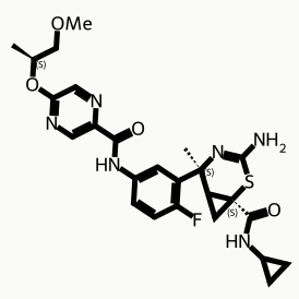 COC[C@H](C)Oc1cnc(C(=O)Nc2ccc(F)c([C@@]3(C)N=C(N)S[C@@]4(C(=O)NC5CC5)CC43)c2)cn1